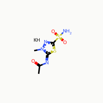 CC(=O)N=c1sc(S(N)(=O)=O)nn1C.[KH]